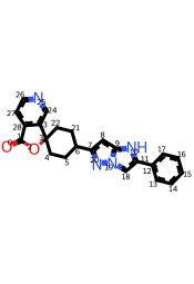 O=C1OC2(CCC(c3cc4[nH]c(-c5ccccc5)cn4n3)CC2)c2cnccc21